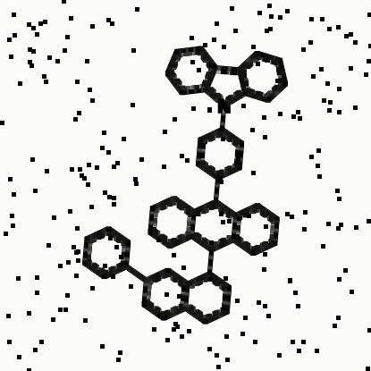 c1ccc(-c2ccc3cccc(-c4c5ccccc5c(-c5ccc(-n6c7ccccc7c7ccccc76)cc5)c5ccccc45)c3c2)cc1